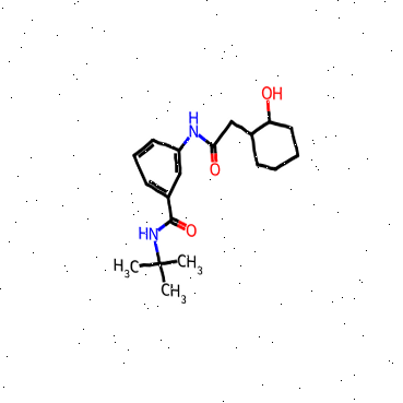 CC(C)(C)NC(=O)c1cccc(NC(=O)CC2CCCCC2O)c1